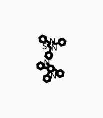 c1ccc(-c2nc(-c3ccc(-n4c5ccccc5c5c6c7ccccc7n7c8ccccc8c(cc54)c67)cc3)c3sc4ccccc4c3n2)cc1